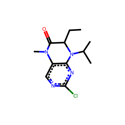 CCC1C(=O)N(C)c2cnc(Cl)nc2N1C(C)C